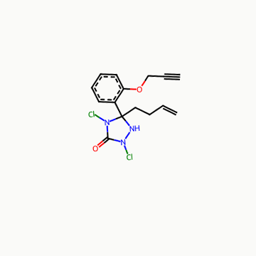 C#CCOc1ccccc1C1(CCC=C)NN(Cl)C(=O)N1Cl